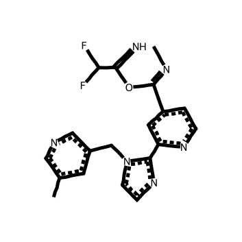 C/N=C(\OC(=N)C(F)F)c1ccnc(-c2nccn2Cc2cncc(C)c2)c1